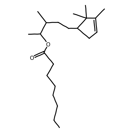 CCCCCCCC(=O)OC(C)C(C)CCC1CC=C(C)C1(C)C